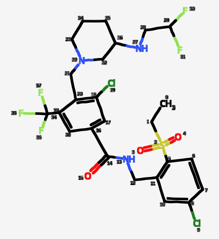 CCS(=O)(=O)c1ccc(Cl)cc1CNC(=O)c1cc(Cl)c(CN2CCCC(NCC(F)F)C2)c(C(F)(F)F)c1